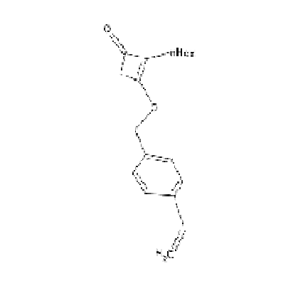 C=Cc1ccc(COC2=C(CCCCCC)C(=O)C2)cc1